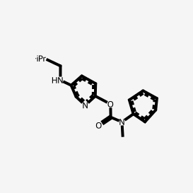 C[C](C)CNc1ccc(OC(=O)N(C)c2ccccc2)nc1